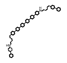 C1=C(N/C=C/C=C\C=C/c2ccc(-c3ccc(-c4ccc(-c5ccc(-c6ccc(-c7ccc(N/C=C/C=C\C=C/c8ccc(-c9ccccc9)cc8)cc7)cc6)cc5)cc4)cc3)cc2)CCC(c2ccccc2)=C1